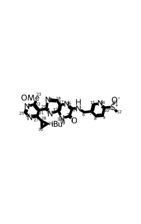 CC[C@@H](C)n1c(=O)c(NCc2ccc([S+](C)[O-])nc2)nc2cnc(-c3c(OC)ncnc3C3CC3)nc21